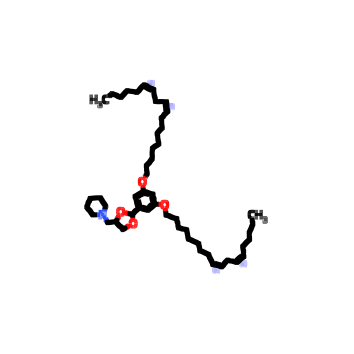 CCCCC/C=C\C/C=C\CCCCCCCCOc1cc(OCCCCCCCC/C=C\C/C=C\CCCCC)cc(C2OCC(CN3CCCCC3)O2)c1